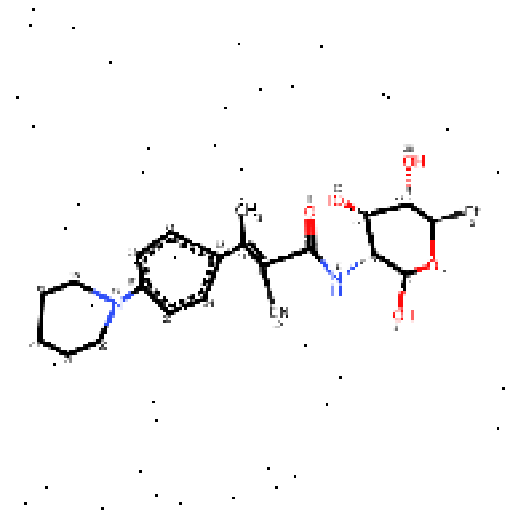 CC[C@H]1OC(O)[C@H](NC(=O)/C(C#N)=C(\C)c2ccc(N3CCCCC3)cc2)[C@@H](O)[C@@H]1O